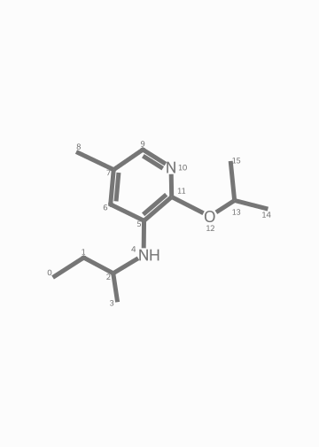 CCC(C)Nc1cc(C)cnc1OC(C)C